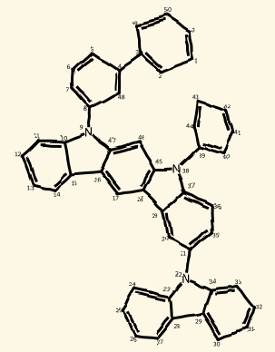 c1ccc(-c2cccc(-n3c4ccccc4c4cc5c6cc(-n7c8ccccc8c8ccccc87)ccc6n(-c6ccccc6)c5cc43)c2)cc1